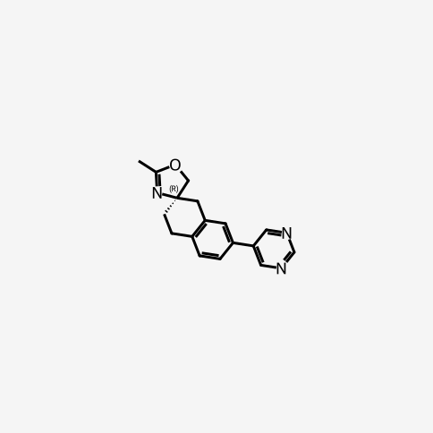 CC1=N[C@@]2(CCc3ccc(-c4cncnc4)cc3C2)CO1